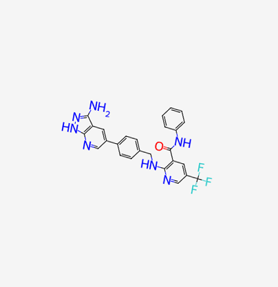 Nc1n[nH]c2ncc(-c3ccc(CNc4ncc(C(F)(F)F)cc4C(=O)Nc4ccccc4)cc3)cc12